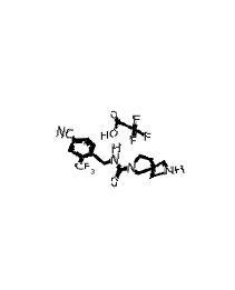 N#Cc1ccc(CNC(=O)N2CCC3(CNC3)C2)c(C(F)(F)F)c1.O=C(O)C(F)(F)F